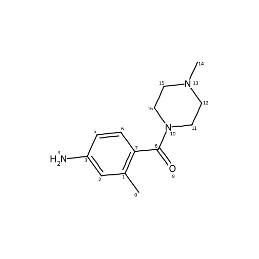 Cc1cc(N)ccc1C(=O)N1CCN(C)CC1